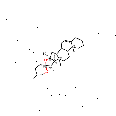 CC1CC[C@@]2(OC1)O[C@H]1CC3C4CC=C5CCCC[C@]5(C)C4CC[C@]3(C)[C@H]1[C@@H]2C